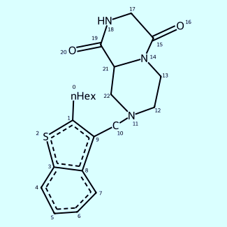 CCCCCCc1sc2ccccc2c1CN1CCN2C(=O)CNC(=O)C2C1